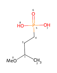 COC(C)CCP(=O)(O)O